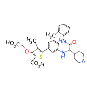 Cc1ccccc1NC(=O)C(Nc1cccc(-c2sc(C(=O)O)c(OCC(=O)O)c2C)c1)C1CCNCC1